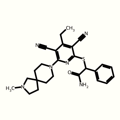 CCc1c(C#N)c(SC(C(N)=O)c2ccccc2)nc(N2CCC3(CCN(C)C3)CC2)c1C#N